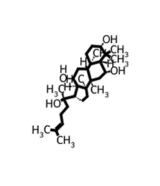 CC(C)=CCC[C@](C)(O)[C@H]1CC[C@@]2(C)[C@@H]1[C@H](O)C[C@@H]1[C@@]3(C)CC[C@H](O)C(C)(C)[C@@H]3[C@@H](O)C[C@]12C